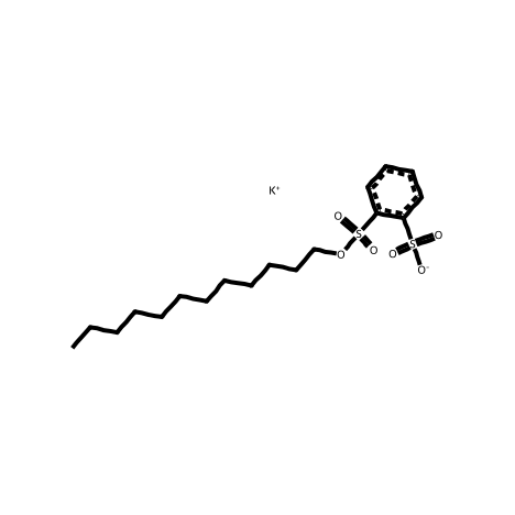 CCCCCCCCCCCCOS(=O)(=O)c1ccccc1S(=O)(=O)[O-].[K+]